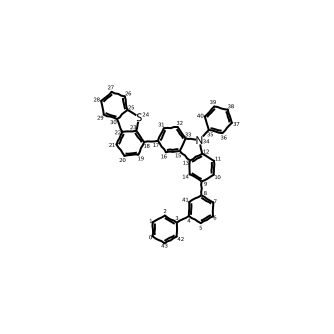 c1ccc(-c2cccc(-c3ccc4c(c3)c3cc(-c5cccc6c5sc5ccccc56)ccc3n4-c3ccccc3)c2)cc1